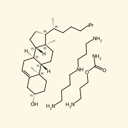 CC(C)CCC[C@@H](C)[C@H]1CC[C@H]2[C@@H]3CC=C4C[C@@H](O)CC[C@]4(C)[C@H]3CC[C@]12C.NCCCCNCCCN.NCCCOC(N)=O